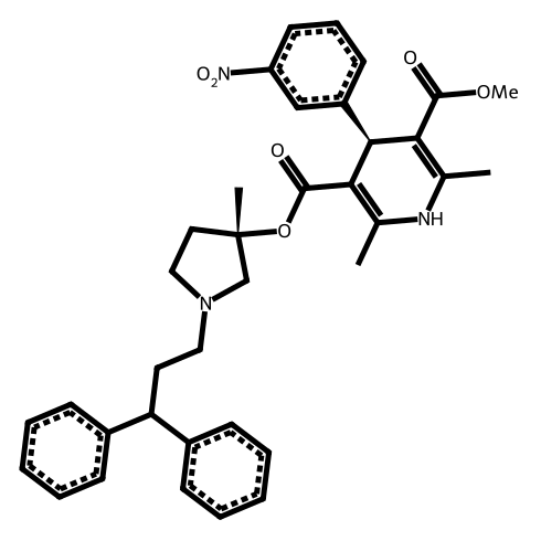 COC(=O)C1=C(C)NC(C)=C(C(=O)O[C@@]2(C)CCN(CCC(c3ccccc3)c3ccccc3)C2)[C@H]1c1cccc([N+](=O)[O-])c1